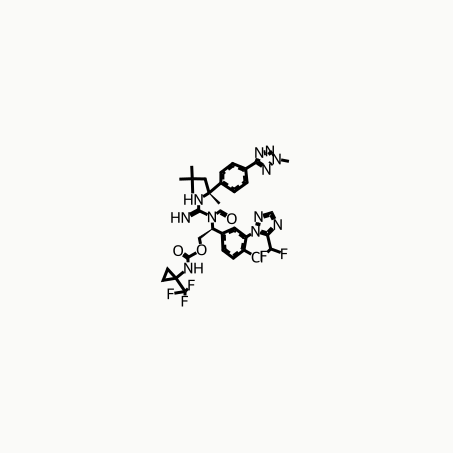 Cn1nnc(-c2ccc([C@@](C)(CC(C)(C)C)NC(=N)N(C=O)[C@H](COC(=O)NC3(C(F)(F)F)CC3)c3ccc(Cl)c(-n4ncnc4C(F)F)c3)cc2)n1